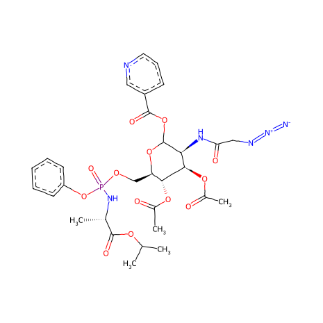 CC(=O)O[C@H]1[C@H](OC(C)=O)[C@@H](COP(=O)(N[C@@H](C)C(=O)OC(C)C)Oc2ccccc2)OC(OC(=O)c2cccnc2)[C@H]1NC(=O)CN=[N+]=[N-]